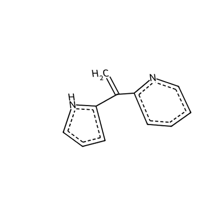 C=C(c1ccccn1)c1ccc[nH]1